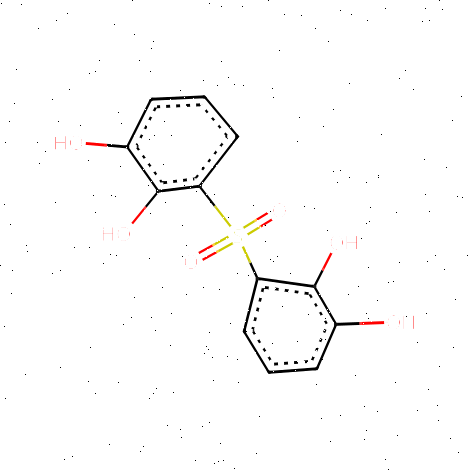 O=S(=O)(c1cccc(O)c1O)c1cccc(O)c1O